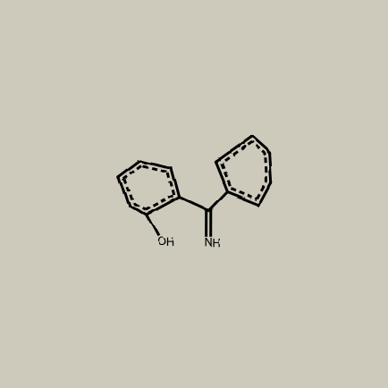 N=C(c1ccccc1)c1ccccc1O